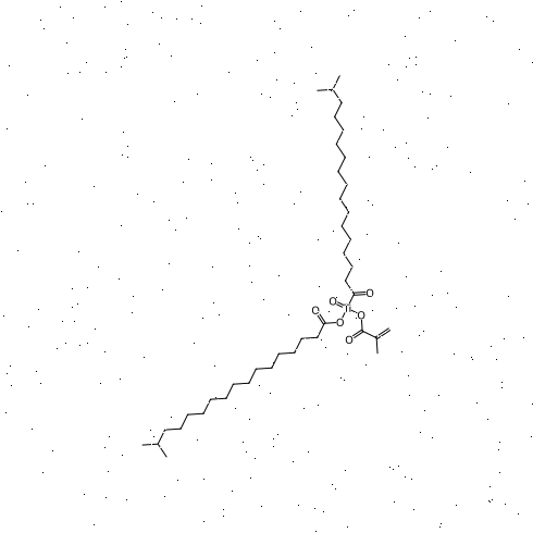 C=C(C)C(=O)[O][Ti](=[O])([O]C(=O)CCCCCCCCCCCCCCC(C)C)[C](=O)CCCCCCCCCCCCCCC(C)C